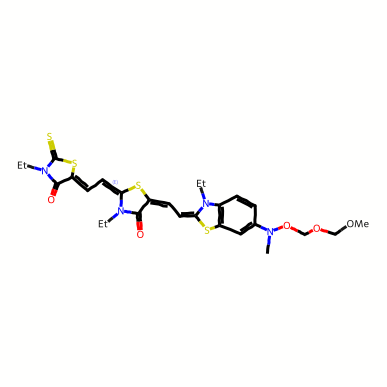 CCN1C(=O)C(=C/C=c2/sc(=CC=C3Sc4cc(N(C)OCOCOC)ccc4N3CC)c(=O)n2CC)SC1=S